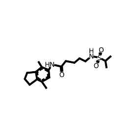 Cc1cc(NC(=O)CCCCNS(=O)(=O)C(C)C)c(C)c2c1CCC2